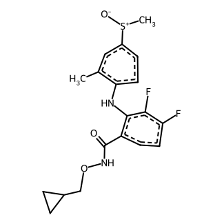 Cc1cc([S+](C)[O-])ccc1Nc1c(C(=O)NOCC2CC2)ccc(F)c1F